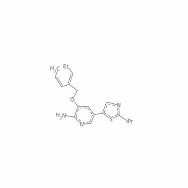 C/C=C\C(=C/CC)COc1cc(-c2cnc(C(C)C)s2)cnc1N